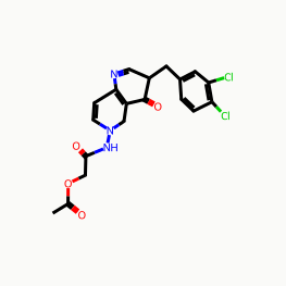 CC(=O)OCC(=O)NN1C=CC2=C(C1)C(=O)C(Cc1ccc(Cl)c(Cl)c1)C=N2